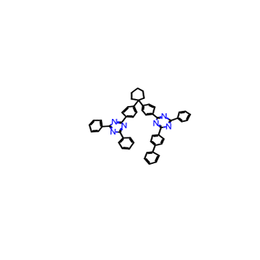 c1ccc(-c2ccc(-c3nc(-c4ccccc4)nc(-c4ccc(C5(c6ccc(-c7nc(-c8ccccc8)nc(-c8ccccc8)n7)cc6)CCCCC5)cc4)n3)cc2)cc1